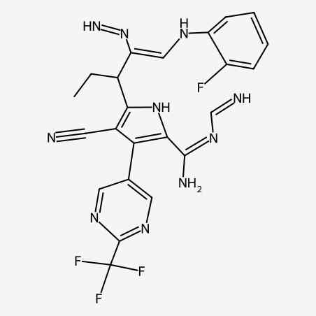 CCC(/C(=C/Nc1ccccc1F)N=N)c1[nH]c(/C(N)=N\C=N)c(-c2cnc(C(F)(F)F)nc2)c1C#N